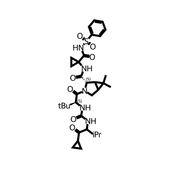 CC(C)C(NC(=O)N[C@H](C(=O)N1CC2C([C@H]1C(=O)NC1(C(=O)NS(=O)(=O)c3ccccc3)CC1)C2(C)C)C(C)(C)C)C(=O)C1CC1